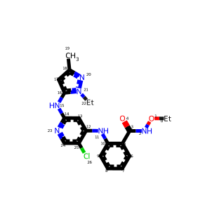 CCONC(=O)c1ccccc1Nc1cc(Nc2cc(C)nn2CC)ncc1Cl